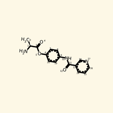 C[C@H](N)C(=O)Oc1ccc(NC(=O)c2cccnc2)cc1